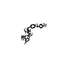 Fc1ccc2c(c1)-c1ncnn1Cc1c(-c3noc(Cc4ccc(OCc5ccc(Br)cc5)cc4)n3)ncn1-2